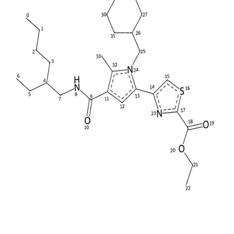 CCCCC(CC)CNC(=O)c1cc(-c2csc(C(=O)OCC)n2)n(CC2CCCCC2)c1C